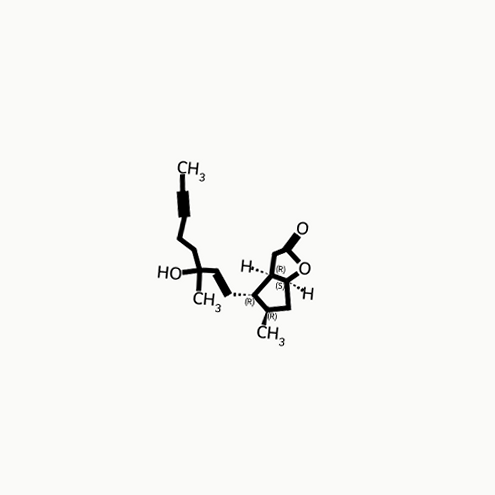 CC#CCCC(C)(O)C=C[C@@H]1[C@H]2CC(=O)O[C@H]2C[C@H]1C